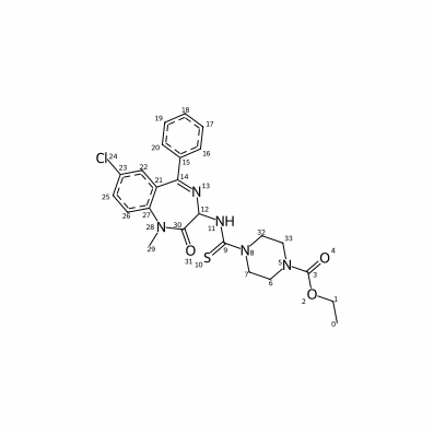 CCOC(=O)N1CCN(C(=S)NC2N=C(c3ccccc3)c3cc(Cl)ccc3N(C)C2=O)CC1